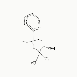 CC(C)(CC(O)(CO)C(F)(F)F)c1ccccc1